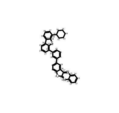 c1cc(-c2ccc3oc4nc5ccccc5nc4c3c2)cc(-c2cccc3c2sc2c(C4CCCCC4)cccc23)c1